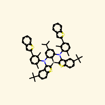 Cc1ccc(-c2cc3ccccc3s2)c(C)c1N1c2cc(C(C)C)cc3c2B(c2sc4ccc(C(C)(C)C)cc4c21)c1sc2ccc(C(C)(C)C)cc2c1N3c1c(C)ccc(-c2cc3ccccc3s2)c1C